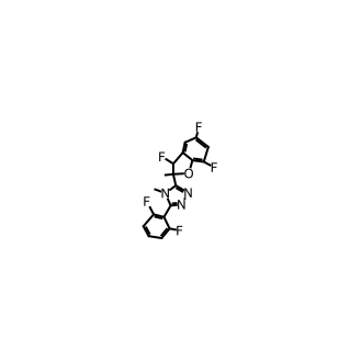 Cn1c(-c2c(F)cccc2F)nnc1C1(C)Oc2c(F)cc(F)cc2C1F